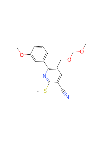 COCOCc1cc(C#N)c(SC)nc1-c1cccc(OC)c1